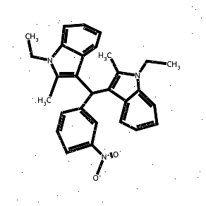 CCn1c(C)c(C(c2cccc([N+](=O)[O-])c2)c2c(C)n(CC)c3ccccc23)c2ccccc21